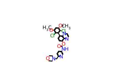 COc1cc(OC)c(Cl)c(-c2ccc(OC(=O)Nc3ccc(CN4CCOCC4)nc3)c3nccnc23)c1Cl